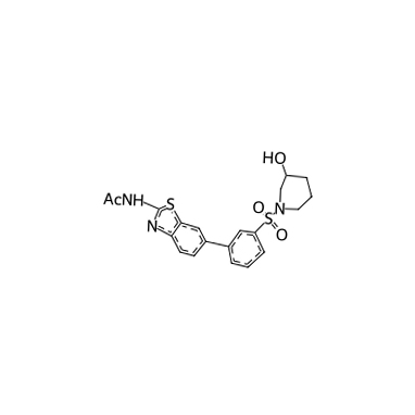 CC(=O)Nc1nc2ccc(-c3cccc(S(=O)(=O)N4CCCC(O)C4)c3)cc2s1